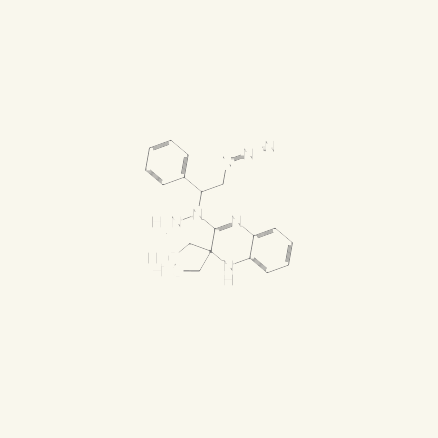 CCC1(CC)Nc2ccccc2N=C1N(N)C(CN=[N+]=[N-])c1ccccc1